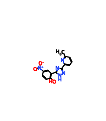 Cc1cccc(-c2n[nH]c(-c3cc([N+](=O)[O-])ccc3O)n2)n1